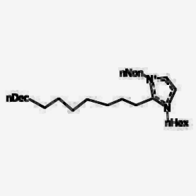 CCCCCCCCCCCCCCCCCc1n(CCCCCC)cc[n+]1CCCCCCCCC